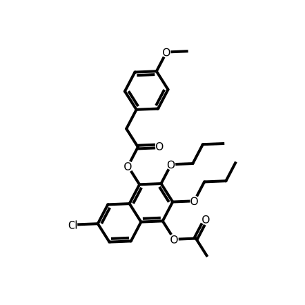 CCCOc1c(OCCC)c(OC(=O)Cc2ccc(OC)cc2)c2cc(Cl)ccc2c1OC(C)=O